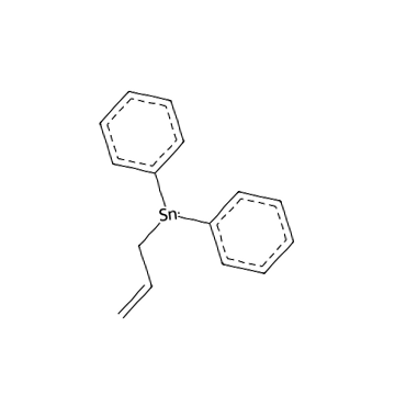 C=C[CH2][Sn]([c]1ccccc1)[c]1ccccc1